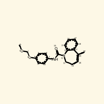 COCOc1ccc(NC(=O)N2CCC=C(C)c3ccccc32)cc1